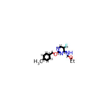 CCOCNC1N=C(OCc2ccc(C)cc2)N=CC1F